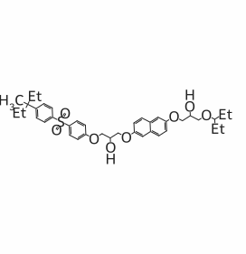 CCC(CC)OCC(O)COc1ccc2cc(OCC(O)COc3ccc(S(=O)(=O)c4ccc(C(C)(CC)CC)cc4)cc3)ccc2c1